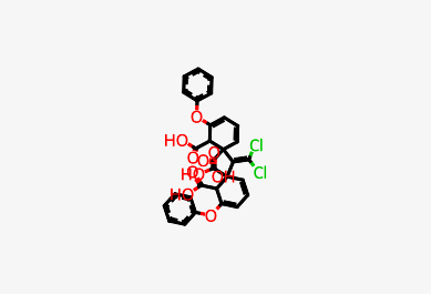 O=C(O)C1C(Oc2ccccc2)=CC=CC1(C(=O)O)C(=C(Cl)Cl)C1(C(=O)O)C=CC=C(Oc2ccccc2)C1C(=O)O